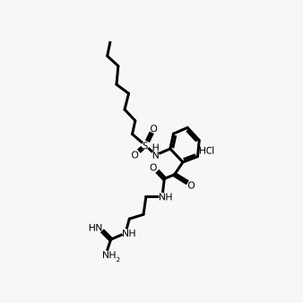 CCCCCCCCS(=O)(=O)Nc1ccccc1C(=O)C(=O)NCCCNC(=N)N.Cl